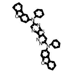 c1ccc(N(c2ccc3oc4ccccc4c3c2)c2cc3sc4nc(N(c5ccccc5)c5ccc6oc7ccccc7c6c5)cnc4c3nn2)cc1